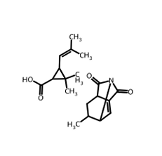 CC(C)=CC1C(C(=O)O)C1(C)C.CC1CC2C(=O)N3C(=O)C2=CC13